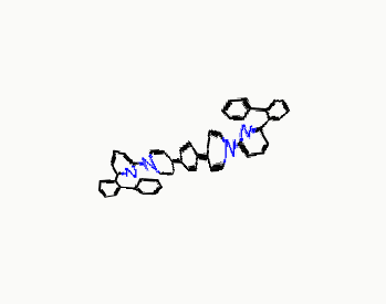 C1=CN(c2cccc(-c3ccccc3-c3ccccc3)n2)C=CC1=c1ccc(=C2C=CN(c3cccc(-c4ccccc4-c4ccccc4)n3)C=C2)cc1